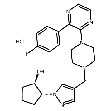 Cl.O[C@@H]1CCC[C@H]1n1cc(CN2CCN(c3nccnc3-c3ccc(F)cc3)CC2)cn1